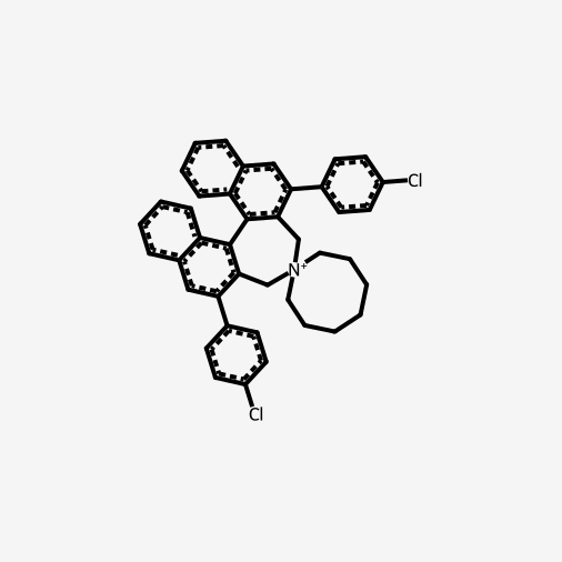 Clc1ccc(-c2cc3ccccc3c3c2C[N+]2(CCCCCCC2)Cc2c(-c4ccc(Cl)cc4)cc4ccccc4c2-3)cc1